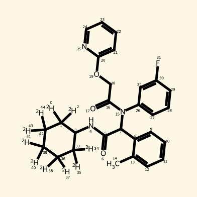 [2H]C1([2H])C(NC(=O)C(c2ccccc2C)N(C(=O)COc2ccccn2)c2cccc(F)c2)C([2H])([2H])C([2H])([2H])C([2H])([2H])C1([2H])[2H]